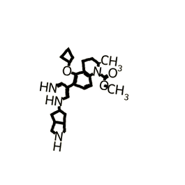 COC(=O)N1c2ccc(/C(C=N)=C/NC3CC4CNCC4C3)c(OC3CCC3)c2CC[C@@H]1C